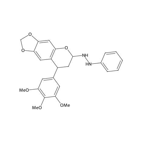 COc1cc(C2CC(NNc3ccccc3)Oc3cc4c(cc32)OCO4)cc(OC)c1OC